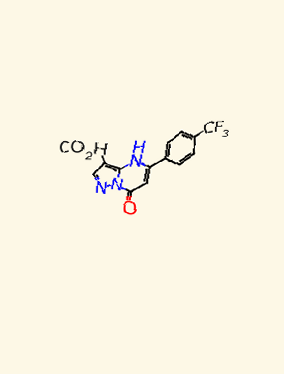 O=C(O)c1cnn2c(=O)cc(-c3ccc(C(F)(F)F)cc3)[nH]c12